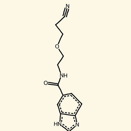 N#CCCOCCNC(=O)c1ccc2nc[nH]c2c1